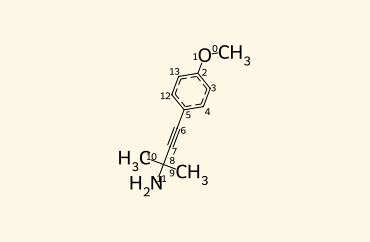 COc1ccc(C#CC(C)(C)N)cc1